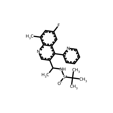 Cc1cc(F)cc2c(-c3ccccn3)c(C(C)N[S+]([O-])C(C)(C)C)cnc12